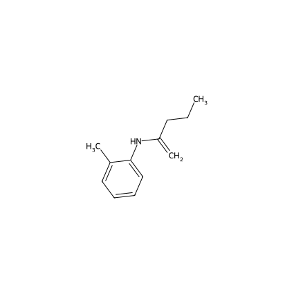 C=C(CCC)Nc1ccccc1C